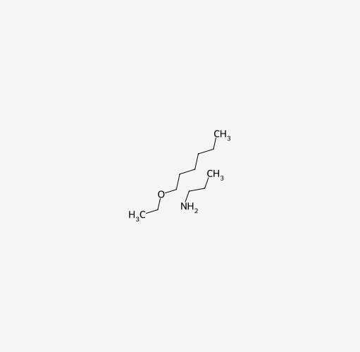 CCCCCCOCC.CCCN